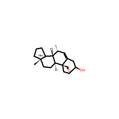 C[C@@H]1C=C2CC(O)CC[C@]2(C=O)[C@H]2CC[C@]3(C)CCC[C@H]3[C@H]12